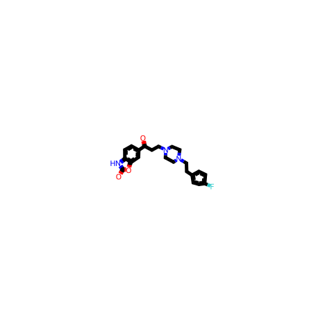 O=C(CCN1CCN(CCc2ccc(F)cc2)CC1)c1ccc2[nH]c(=O)oc2c1